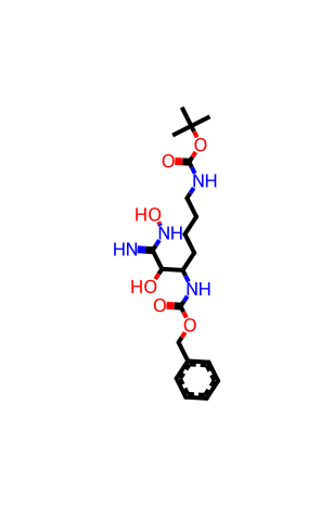 CC(C)(C)OC(=O)NCCCCC(NC(=O)OCc1ccccc1)C(O)C(=N)NO